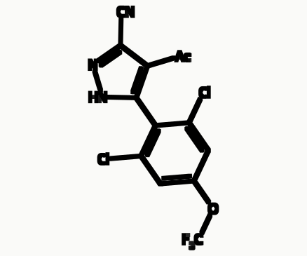 CC(=O)c1c(C#N)n[nH]c1-c1c(Cl)cc(OC(F)(F)F)cc1Cl